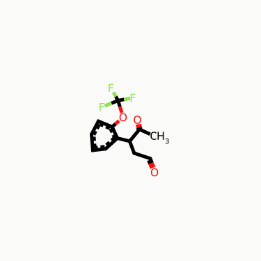 CC(=O)C(CC=O)c1ccccc1OC(F)(F)F